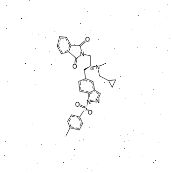 Cc1ccc(S(=O)(=O)n2ncc3cc(C[C@@H](CN4C(=O)c5ccccc5C4=O)N(C)CC4CC4)ccc32)cc1